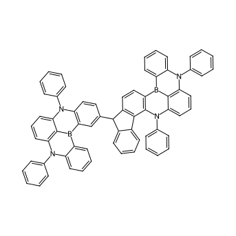 c1ccc(N2c3ccccc3B3c4cc(C5c6ccccc6-c6c5ccc5c6N(c6ccccc6)c6cccc7c6B5c5ccccc5N7c5ccccc5)ccc4N(c4ccccc4)c4cccc2c43)cc1